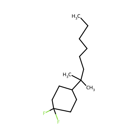 CCCCCCC(C)(C)C1CCC(F)(F)CC1